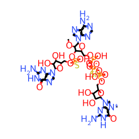 COC1C(OP(O)(=S)OCC2OC(n3cnc4c(=O)[nH]c(N)nc43)C(O)C2O)C(COP(=O)(O)OP(=O)(S)OP(=O)(O)OCC2OC(n3c[n+](C)c4c(=O)[nH]c(N)nc43)C(O)C2O)OC1n1cnc2c(N)ncnc21